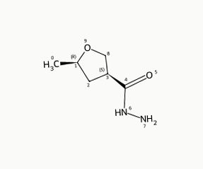 C[C@@H]1C[C@H](C(=O)NN)CO1